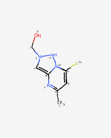 OCN1C=C2N=C(C(F)(F)F)C=C([S])N2N1